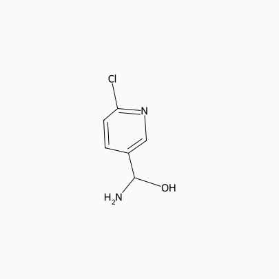 NC(O)c1ccc(Cl)nc1